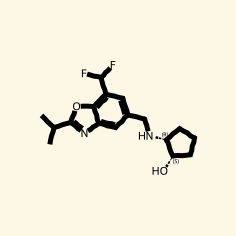 CC(C)c1nc2cc(CN[C@@H]3CCC[C@@H]3O)cc(C(F)F)c2o1